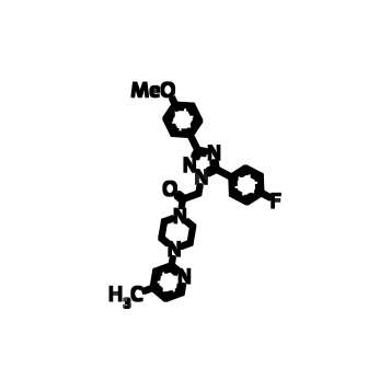 COc1ccc(-c2nc(-c3ccc(F)cc3)n(CC(=O)N3CCN(c4cc(C)ccn4)CC3)n2)cc1